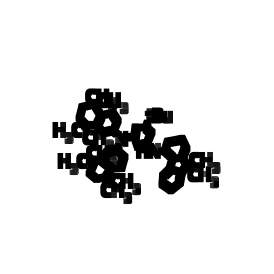 CC(C)(C)c1cc(Nc2cccc3c2-c2ccccc2C3(C)C)cc(N(c2ccc3c(c2)C(C)(C)CCC3(C)C)c2ccc3c(c2)C(C)(C)CCC3(C)C)c1